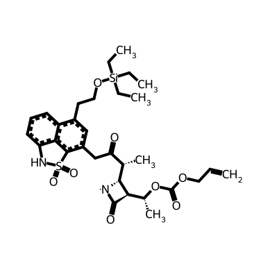 C=CCOC(=O)O[C@H](C)[C@H]1C(=O)[N][C@@H]1[C@@H](C)C(=O)Cc1cc(CCO[Si](CC)(CC)CC)c2cccc3c2c1S(=O)(=O)N3